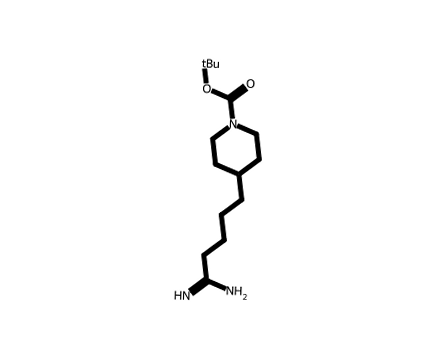 CC(C)(C)OC(=O)N1CCC(CCCCC(=N)N)CC1